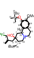 C=C(C[18F])C[C@]1(O)C[C@H]2c3cc(O[Si](C)(C)C(C)(C)C)c(OC)cc3CCN2C[C@@H]1CC(C)CC